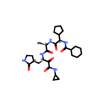 CCC[C@H](NC(=O)[C@H](NC(=O)C1CCCCC1)C1CCCC1)C(=O)N[C@@H](C[C@@H]1CCNC1=O)C(=O)C(=O)NC1CC1